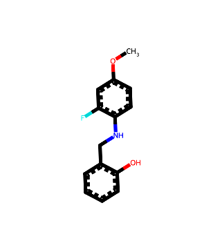 COc1ccc(NCc2ccccc2O)c(F)c1